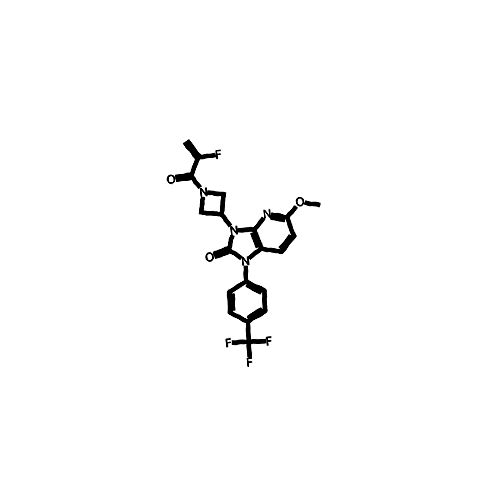 C=C(F)C(=O)N1CC(n2c(=O)n(-c3ccc(C(F)(F)F)cc3)c3ccc(OC)nc32)C1